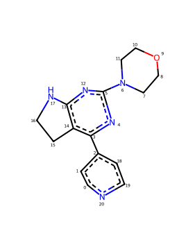 c1cc(-c2nc(N3CCOCC3)nc3c2CCN3)ccn1